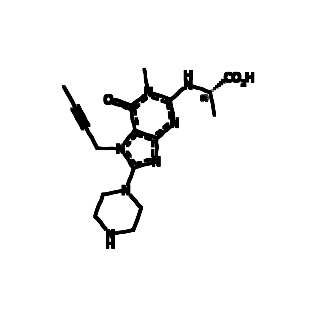 CC#CCn1c(N2CCNCC2)nc2nc(N[C@@H](C)C(=O)O)n(C)c(=O)c21